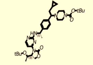 C[C@H](Nc1nccc(N2C(=O)OC[C@@H]2[C@@H](C)OC(C)(C)C)n1)c1ccc(C(CC2CC2)N2CCN(C(=O)OC(C)(C)C)CC2)cc1